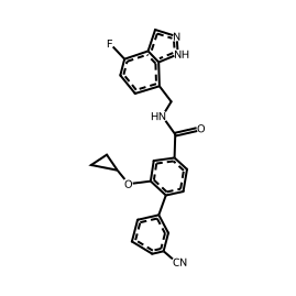 N#Cc1cccc(-c2ccc(C(=O)NCc3ccc(F)c4cn[nH]c34)cc2OC2CC2)c1